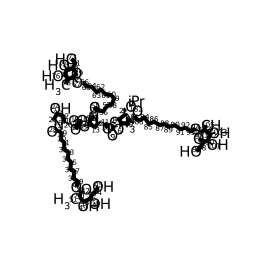 CC(C)OC[C@@H]1C[C@@H](OP(C)(=O)OC[C@@H]2C[C@@H](OP(=O)(O)OC[C@@H]3C[C@@H](O)CN3C(=O)CCCCCCCCCCCO[C@@H]3OC(CO)[C@H](O)[C@H](O)C3C)CN2C(=O)CCCCCCCCCCCO[C@@H]2OC(CO)[C@H](O)[C@H](O)C2C)CN1C(=O)CCCCCCCCCCCO[C@@H]1OC(CO)[C@H](O)[C@H](O)C1C